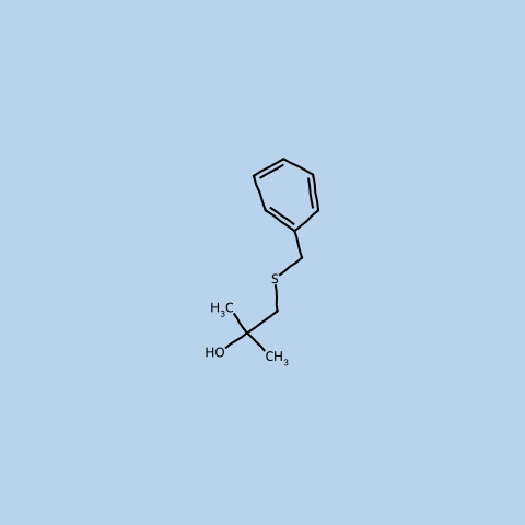 CC(C)(O)CSCc1ccccc1